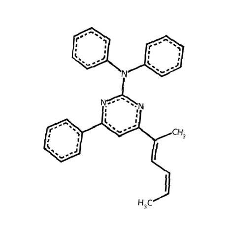 C/C=C\C=C(/C)c1cc(-c2ccccc2)nc(N(c2ccccc2)c2ccccc2)n1